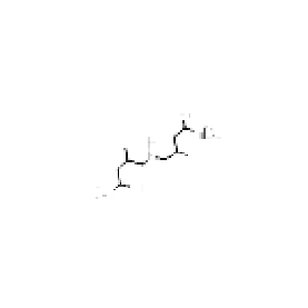 CCCCC(CC)CC(C)CNCC(C)CC(CC)CCCC